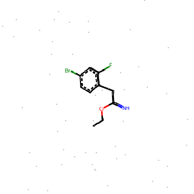 CCOC(=N)Cc1ccc(Br)cc1F